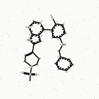 CS(=O)(=O)N1CC=C(c2cc3c(-c4cc(NCc5ccccc5)ccc4F)ncnc3[nH]2)CC1